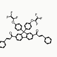 O=C(C=Cc1ccccc1)c1ccc2c(c1)C(c1ccc(OC(F)=C(F)F)cc1)(c1ccc(OC(F)=C(F)F)cc1)c1cc(C(=O)C=Cc3ccccc3)ccc1-2